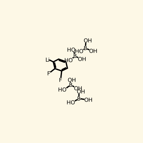 OB(O)O.OB(O)O.OB(O)O.OB(O)O.[Li][c]1cccc(F)c1F